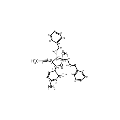 CC#C[C@@H]1[C@H](n2ccc(N)nc2=O)O[C@](C)(COCc2ccccc2)[C@H]1OCc1ccccc1